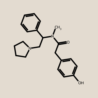 CN(C(=O)Cc1ccc(O)cc1)C(CN1CCCC1)c1ccccc1